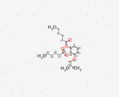 CCCCCC(=O)Oc1cccc(OCC(C)C)c1OC(=O)CCCCC